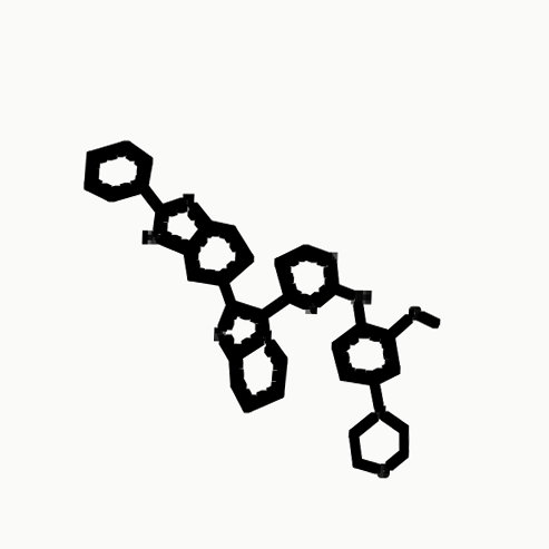 COc1cc(N2CCOCC2)ccc1Nc1nccc(-c2c(-c3ccc4nc(-c5ccccc5)[nH]c4c3)nc3ccccn23)n1